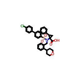 O=C(O)C1(N(Cc2ccccc2C2CCOCC2)S(=O)(=O)c2ccc(-c3ccc(Cl)cc3)cc2)CC1c1ccccc1